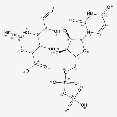 O=CC(O)C(O)C(O)C(O)C(=O)[O-].O=c1ccn([C@@H]2O[C@H](COP(=O)([O-])OP(=O)([O-])O)[C@@H](O)[C@H]2O)c(=O)[nH]1.[Na+].[Na+].[Na+]